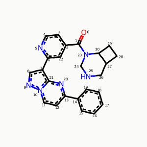 O=C(c1ccnc(-c2cnn3ccc(-c4ccccc4)nc23)c1)N1CNCC2CCC21